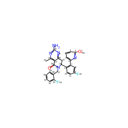 COc1cccc(-c2cc(F)ccc2C2Cc3nc(N)nc(C)c3C(=O)N2Cc2ccccc2F)n1